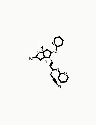 CCC#CC[C@@H](C=C[C@@H]1[C@H]2CC(O)O[C@H]2C[C@H]1OC1CCCCO1)OC1CCCCO1